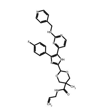 C=CCNC(=O)C1(C)COC(c2nc(-c3ccc(F)cc3)c(-c3ccnc(NCc4ccncc4)n3)[nH]2)OC1